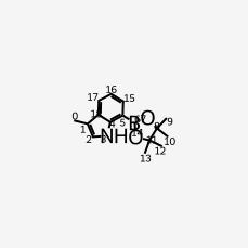 Cc1c[nH]c2c(B3OC(C)(C)C(C)(C)O3)cccc12